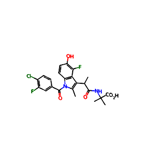 Cc1c(C(C)C(=O)NC(C)(C)C(=O)O)c2c(F)c(O)ccc2n1C(=O)c1ccc(Cl)c(F)c1